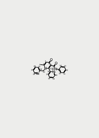 Cc1cc(=O)c(C(=O)Nc2ccccc2)c(-c2ccccn2)n1Cc1ccccn1